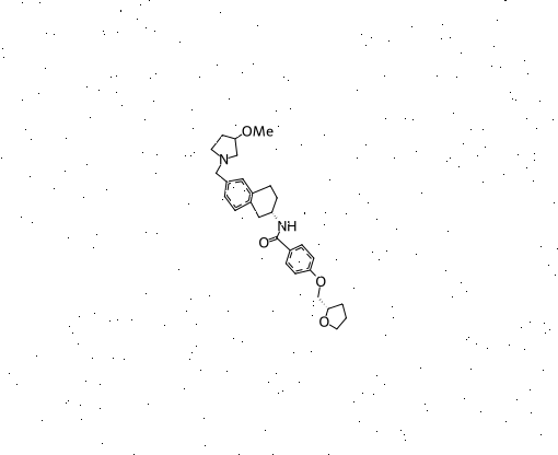 COC1CCN(Cc2ccc3c(c2)CC[C@H](NC(=O)c2ccc(OC[C@@H]4CCCO4)cc2)C3)C1